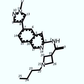 C=C(Nc1cc2cc(-c3cnn(C)c3)ccc2cn1)C1CN(CCCC)C1